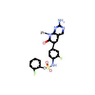 CC(C)n1c(=O)c(-c2ccc(NS(=O)(=O)Cc3ccccc3F)c(F)c2)cc2cnc(N)nc21